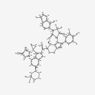 Cc1cc(-n2nc3c(c2N2C(=O)N(c4ccc5c(cnn5C)c4F)C(C)(C)C2=O)[C@H](C)N(C(=O)c2cc4cc([C@H]5CCOC(C)(C)C5)ccc4n2[C@@]2(c4noc(=O)[nH]4)C[C@@H]2C)CC3)cc(C)c1F